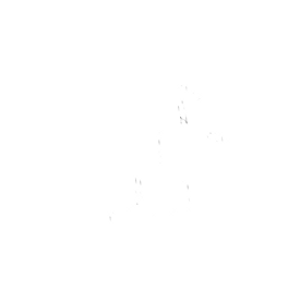 [CH2-][NH+](C)Cc1cccc(F)c1